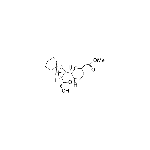 COC(=O)C[C@H]1CC[C@@H]2O[C@@H](CO)[C@H]3OC4(CCCCC4)O[C@H]3[C@H]2O1